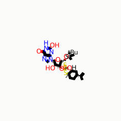 C=C(C)[C@H]1CC[C@@]2(C)S[P@](=S)(O[C@H]3[C@@H](O)[C@H](n4cnc5c(=O)[nH]c(O)nc54)O[C@@H]3CO[Si](C)(C)C(C)(C)C)O[C@@H]2C1